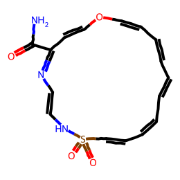 NC(=O)C1=N/C=C/NS(=O)(=O)/C=C/C=C\C=C\C=C\C=C/O\C=C\1